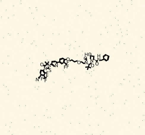 CC(C)(C)[C@@H](C(=O)N1C[C@H](O)C[C@H]1C(=O)NCc1ccccc1)N(C=O)CCOCCCCOc1ccc(-c2ccc(N3C(=S)N(c4ccc(C#N)c(C(F)(F)F)c4F)C(=O)C3(C)C)cn2)cc1C(F)(F)F